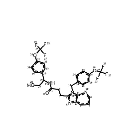 O=C(CCc1nc2cccnc2n1Cc1ccc(OC(F)(F)F)cc1)NC(CO)c1ccc(OC(F)(F)F)cc1